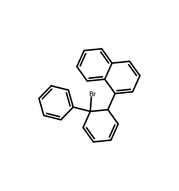 BrC1(c2ccccc2)C=CC=CC1c1cccc2ccccc12